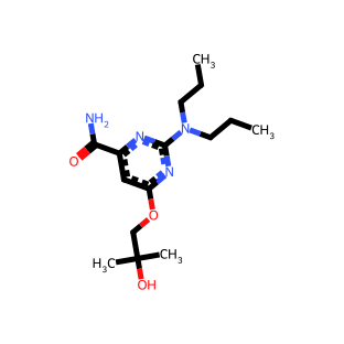 CCCN(CCC)c1nc(OCC(C)(C)O)cc(C(N)=O)n1